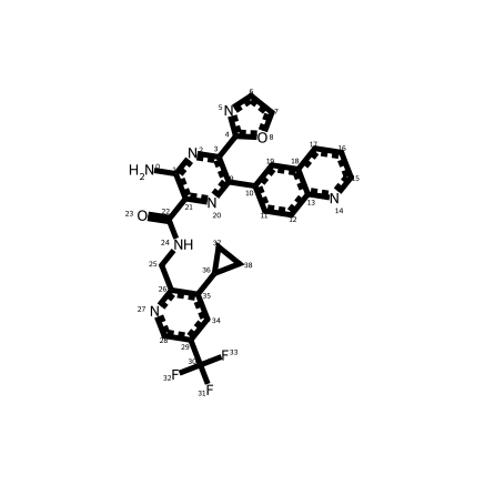 Nc1nc(-c2ncco2)c(-c2ccc3ncccc3c2)nc1C(=O)NCc1ncc(C(F)(F)F)cc1C1CC1